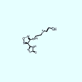 O=c1[nH]c(-c2nonc2NCCSCCO)no1